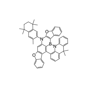 Cc1cc2c(cc1N1c3cc4oc5ccccc5c4c4c3B(c3c1oc1ccccc31)N1c3ccccc3C(C)(C)c3cccc-4c31)C(C)(C)CCC2(C)C